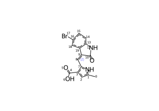 Cc1cc(C(=O)O)c(/C=C2\C(=O)Nc3ccc(Br)cc32)[nH]1